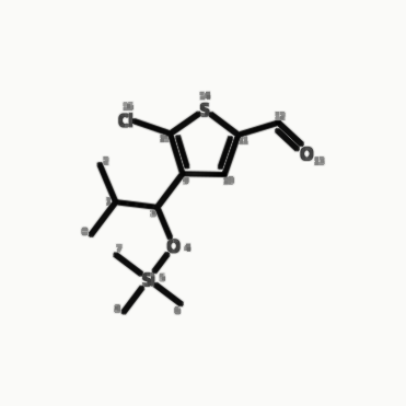 CC(C)C(O[Si](C)(C)C)c1cc(C=O)sc1Cl